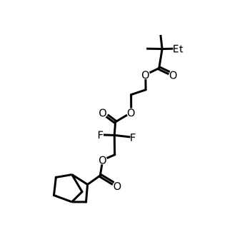 CCC(C)(C)C(=O)OCCOC(=O)C(F)(F)COC(=O)C1CC2CCC1C2